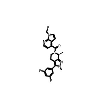 C[C@H]1c2nn(C)c(-c3cc(F)cc(F)c3)c2CCN1C(=O)c1ccnc2c1ccn2CF